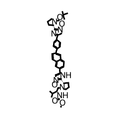 COC(=O)N[C@H](C(=O)N1CCC[C@H]1c1ncc(-c2ccc3cc(-c4ccc(C5=NC([C@@H]6CCCN6C(=O)OC(C)(C)C)=NC5)cc4)ccc3c2)[nH]1)C(C)C